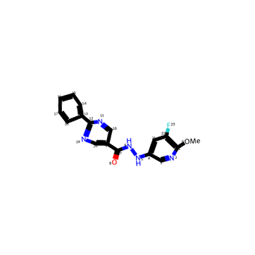 COc1ncc(NNC(=O)c2cnc(-c3ccccc3)nc2)cc1F